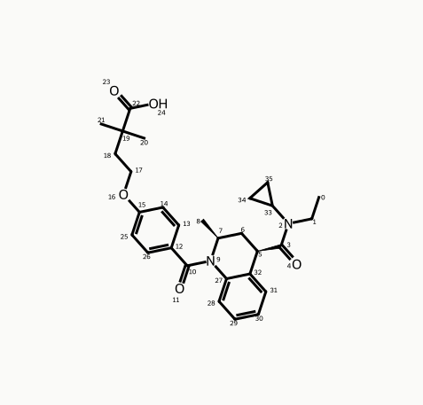 CCN(C(=O)[C@@H]1C[C@H](C)N(C(=O)c2ccc(OCCC(C)(C)C(=O)O)cc2)c2ccccc21)C1CC1